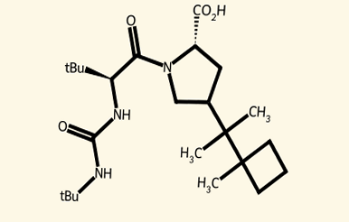 CC(C)(C)NC(=O)N[C@H](C(=O)N1CC(C(C)(C)C2(C)CCC2)C[C@H]1C(=O)O)C(C)(C)C